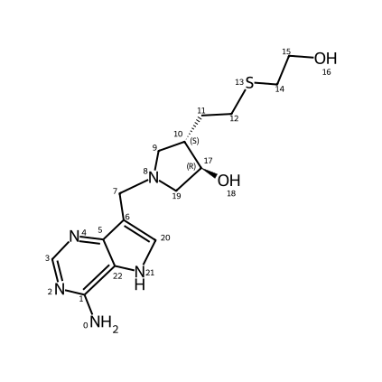 Nc1ncnc2c(CN3C[C@H](CCSCCO)[C@@H](O)C3)c[nH]c12